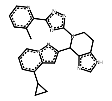 Cc1cccnc1-c1nnc(N2CCc3[nH]cnc3C2c2cc3c(C4CC4)cccn3n2)o1